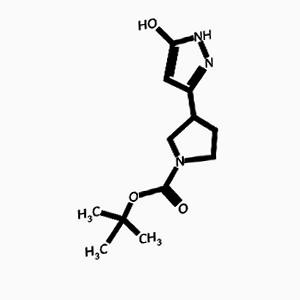 CC(C)(C)OC(=O)N1CCC(c2cc(O)[nH]n2)C1